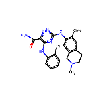 COc1cc2c(cc1Nc1nnc(C(N)=O)c(Nc3ccccc3C#N)n1)CN(C)CC2